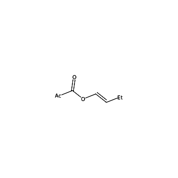 CCC=COC(=O)C(C)=O